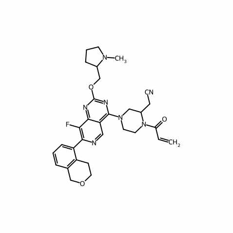 C=CC(=O)N1CCN(c2nc(OCC3CCCN3C)nc3c(F)c(-c4cccc5c4CCOC5)ncc23)CC1CC#N